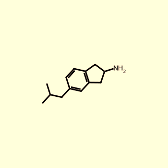 CC(C)Cc1ccc2c(c1)CC(N)C2